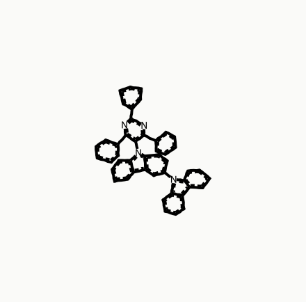 c1ccc(-c2nc(-c3ccccc3)c(-n3c4ccccc4c4cc(-n5c6ccccc6c6ccccc65)ccc43)c(-c3ccccc3)n2)cc1